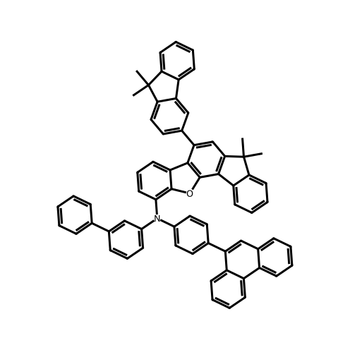 CC1(C)c2ccccc2-c2cc(-c3cc4c(c5oc6c(N(c7ccc(-c8cc9ccccc9c9ccccc89)cc7)c7cccc(-c8ccccc8)c7)cccc6c35)-c3ccccc3C4(C)C)ccc21